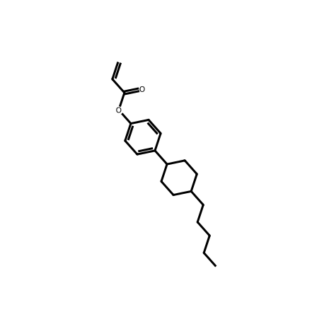 C=CC(=O)Oc1ccc(C2CCC(CCCCC)CC2)cc1